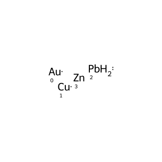 [Au].[Cu].[PbH2].[Zn]